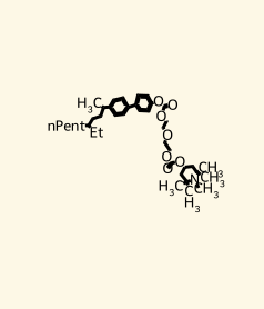 CCCCCC(CC)CCC(C)c1ccc(-c2ccc(OC(=O)OCCOCCOC(=O)OC3CC(C)(C)N(C)C(C)(C)C3)cc2)cc1